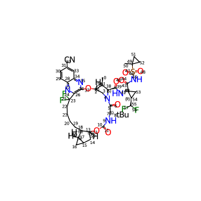 C[C@@H]1[C@@H]2CN(C(=O)[C@H](C(C)(C)C)NC(=O)O[C@@H]3CC4C[C@@H]4[C@H]3CCCCC(F)(F)c3nc4ccc(C#N)cc4nc3O2)[C@@H]1C(=O)N[C@]1(C(=O)NS(=O)(=O)C2(C)CC2)C[C@H]1C(F)F